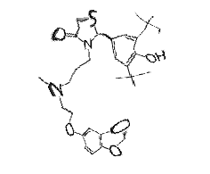 CN(CCCN1C(=O)CS[C@H]1c1cc(C(C)(C)C)c(O)c(C(C)(C)C)c1)CCOc1ccc2c(c1)OCO2